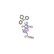 COC(=O)CNC(=O)C1(NC(=O)C(CSC(c2ccccc2)(c2ccccc2)c2ccccc2)NC=O)CC1